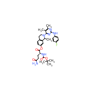 Cc1nc(Nc2ccc(F)cc2)nc(N2CCc3ccc(OC(=O)[C@H](CCC(N)=O)NC(=O)OC(C)(C)C)cc3C2C)c1C